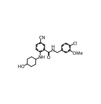 COc1cc(CNC(=O)c2cc(C#N)ccc2NC2CCC(O)CC2)ccc1Cl